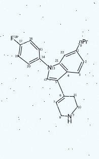 CCCc1ccc2c(C3=CCNCC3)cn(-c3ccc(F)cc3)c2c1